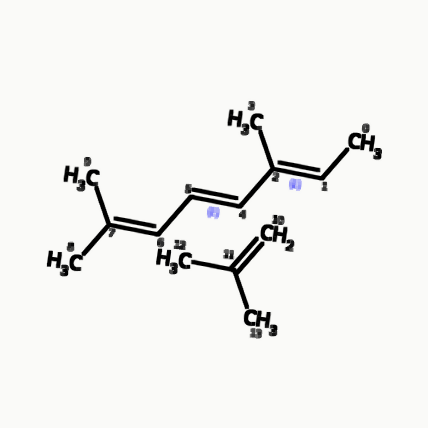 C/C=C(C)/C=C/C=C(C)C.C=C(C)C